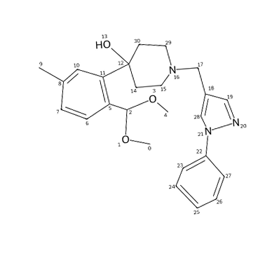 COC(OC)c1ccc(C)cc1C1(O)CCN(Cc2cnn(-c3ccccc3)c2)CC1